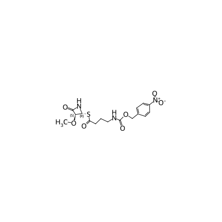 CO[C@H]1C(=O)N[C@@H]1SC(=O)CCCNC(=O)OCc1ccc([N+](=O)[O-])cc1